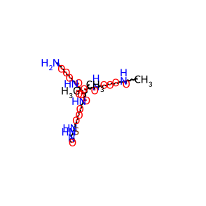 CCCCCCC(=O)NCCCOCCOCCOCCCNC(=O)CCC(CC)C(=O)CC(CCC(=O)NCCCOCCOCCOCCCNC(=S)NCCN1CCOCC1)C(=O)CC(CCC(=O)NCCCOCCOCCOCCCN)C(C)=O